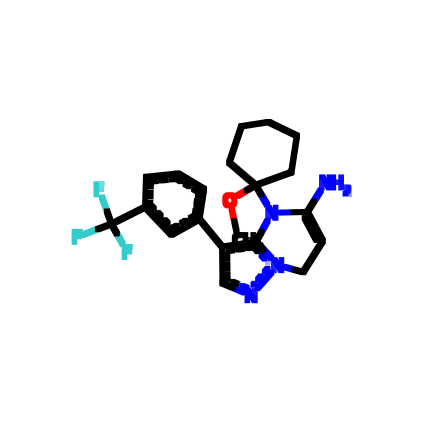 COC1(N2C(N)=CCn3ncc(-c4cccc(C(F)(F)F)c4)c32)CCCCC1